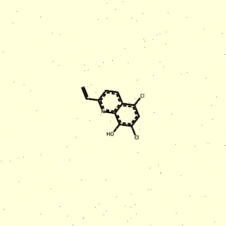 C=Cc1ccc2c(Cl)cc(Cl)c(O)c2n1